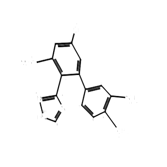 COc1cc(Cl)cc(-c2ccc(C)c(N)c2)c1-c1nc[nH]n1